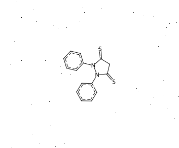 S=C1CC(=S)N(c2ccccc2)N1c1ccccc1